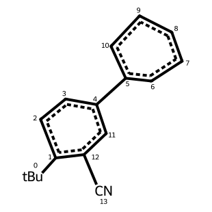 CC(C)(C)c1ccc(-c2ccccc2)cc1C#N